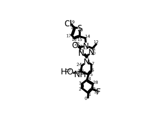 Cc1ccc(C2=CCN(c3nc(C)n(Cc4ccc(Cl)s4)c(=O)n3)C[C@@H]2NO)cc1F